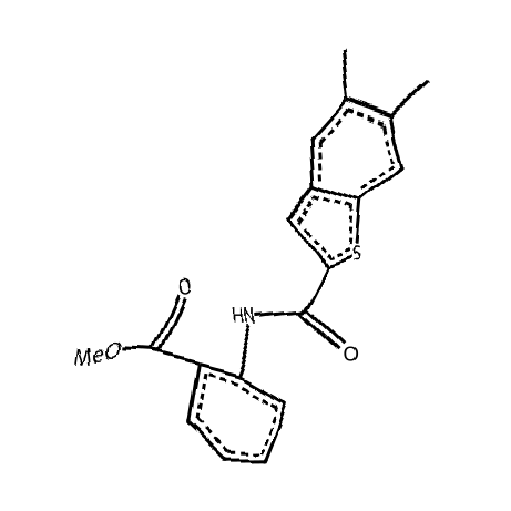 COC(=O)c1ccccc1NC(=O)c1cc2cc(C)c(C)cc2s1